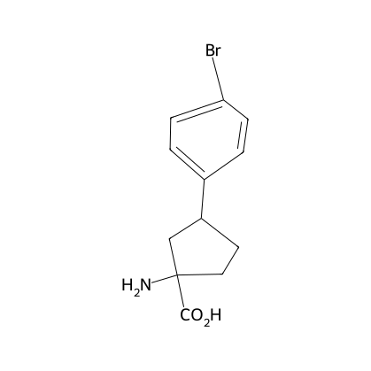 NC1(C(=O)O)CCC(c2ccc(Br)cc2)C1